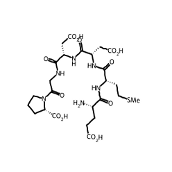 CSCC[C@H](NC(=O)[C@@H](N)CCC(=O)O)C(=O)N[C@@H](CC(=O)O)C(=O)N[C@@H](CC(=O)O)C(=O)NCC(=O)N1CCC[C@H]1C(=O)O